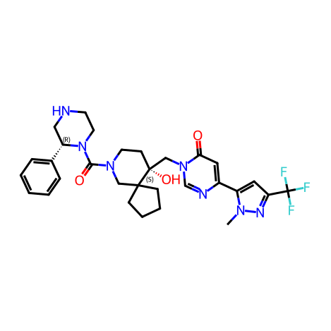 Cn1nc(C(F)(F)F)cc1-c1cc(=O)n(C[C@]2(O)CCN(C(=O)N3CCNC[C@H]3c3ccccc3)CC23CCCC3)cn1